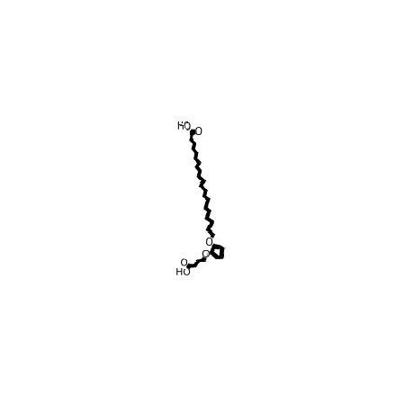 O=C(O)CCCCCCCCCCCCCCCCCCCCOc1ccccc1OCCCC(=O)O